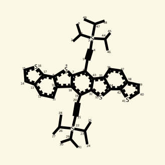 CC(C)S(C#Cc1c2sc3c(ccc4ccsc43)c2c(C#CS(C(C)C)(C(C)C)C(C)C)c2sc3c(ccc4ccsc43)c12)(C(C)C)C(C)C